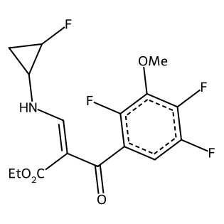 CCOC(=O)C(=CNC1CC1F)C(=O)c1cc(F)c(F)c(OC)c1F